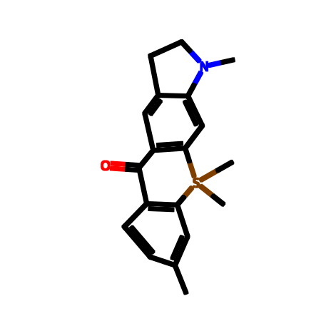 Cc1ccc2c(c1)S(C)(C)c1cc3c(cc1C2=O)CCN3C